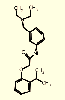 CCN(CC)Cc1cccc(NC(=O)COc2ccccc2C(C)C)c1